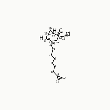 C[C@H](CCCCCCCC1C=C1)CC(C)(CCl)C1CC1